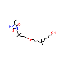 CCC1NC(=O)N(CCC(C)(C)CCCCOCCCCC(C)(C)CCCCCO)C1=O